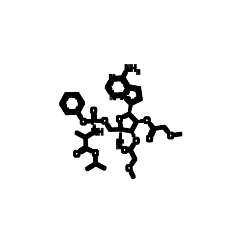 COCC(=O)O[C@H]1[C@H](c2ccc3c(N)ncnn23)O[C@](C#N)(CO[P@@](=O)(NC(C)C(=O)OC(C)C)Oc2ccccc2)[C@H]1OC(=O)COC